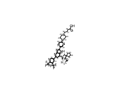 COCC1(CN(C)c2cc(-c3cnc(C(F)(F)F)c(C(F)(F)F)c3)nc3nc(-c4cnc(N5CCN(CCCC(=O)O)CC5)cn4)[nH]c23)CCCC1